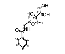 CC(O[C@@H](C)CNC(=O)c1ccccc1)C(O)[C@H](O)CO